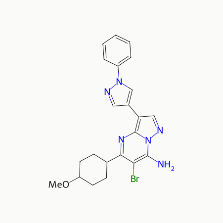 COC1CCC(c2nc3c(-c4cnn(-c5ccccc5)c4)cnn3c(N)c2Br)CC1